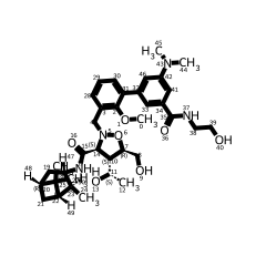 COc1c(CN2O[C@@H](CO)[C@H]([C@H](C)O)[C@H]2C(=O)N[C@H]2C[C@H]3C[C@@H]([C@@H]2C)C3(C)C)cccc1-c1cc(C(=O)NCCO)cc(N(C)C)c1